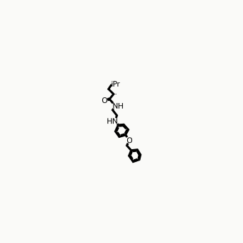 CC(C)C[CH]C(=O)NCCNc1ccc(OCc2ccccc2)cc1